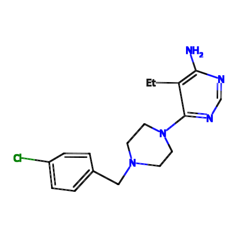 CCc1c(N)ncnc1N1CCN(Cc2ccc(Cl)cc2)CC1